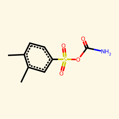 Cc1ccc(S(=O)(=O)OC(N)=O)cc1C